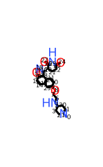 CN1CCC(NCCOc2ccc3c(ccc4onc([C@@H]5CCC(=O)NC5=O)c43)c2)CC1